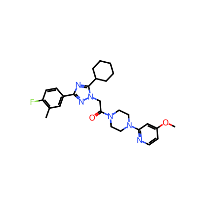 COc1ccnc(N2CCN(C(=O)Cn3nc(-c4ccc(F)c(C)c4)nc3C3CCCCC3)CC2)c1